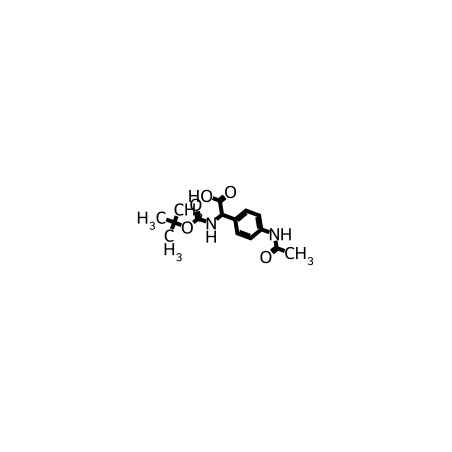 CC(=O)Nc1ccc(C(NC(=O)OC(C)(C)C)C(=O)O)cc1